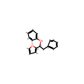 c1ccc(CC(Oc2ccccc2)c2ccco2)cc1